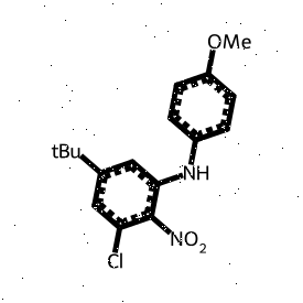 COc1ccc(Nc2cc(C(C)(C)C)cc(Cl)c2[N+](=O)[O-])cc1